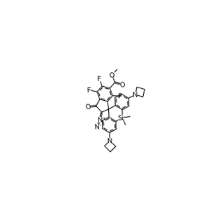 COC(=O)c1c(F)c(F)c2c(c1F)C1(C(=[N+]=[N-])C2=O)c2ccc(N3CCC3)cc2[Si](C)(C)c2cc(N3CCC3)ccc21